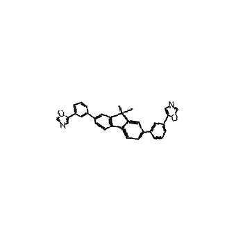 CC1(C)c2cc(-c3cccc(-c4cnco4)c3)ccc2-c2ccc(-c3cccc(-c4cnco4)c3)cc21